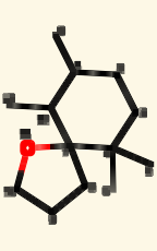 CC1CCC(C)(C)C2(CCCO2)C1C